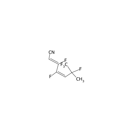 CC(F)(/C=C(F)\C(F)=C\C#N)C(F)(F)F